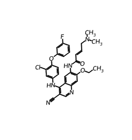 CCOc1cc2ncc(C#N)c(Nc3ccc(Oc4cccc(F)c4)c(Cl)c3)c2cc1NC(=O)C=CCN(C)C